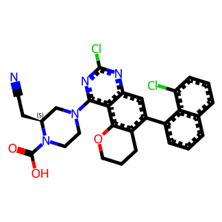 N#CC[C@H]1CN(c2nc(Cl)nc3cc(-c4cccc5cccc(Cl)c45)c4c(c23)OCCC4)CCN1C(=O)O